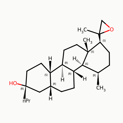 CCC[C@@]1(O)CC[C@H]2[C@H](CC[C@@H]3[C@@H]2CC[C@@]2(C)[C@H]3[C@H](C)CC[C@@H]2C2(C)CO2)C1